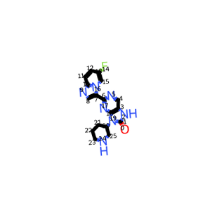 O=c1[nH]c2cnc(-c3cnc4ccc(F)cn34)nc2n1C1CCCNC1